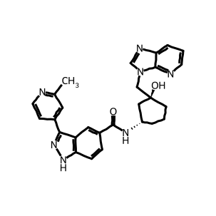 Cc1cc(-c2n[nH]c3ccc(C(=O)N[C@H]4CCC[C@@](O)(Cn5cnc6cccnc65)C4)cc23)ccn1